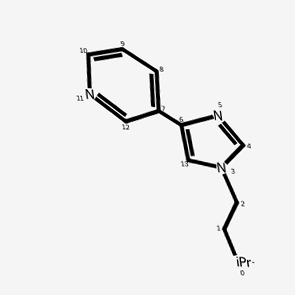 C[C](C)CCn1cnc(-c2cccnc2)c1